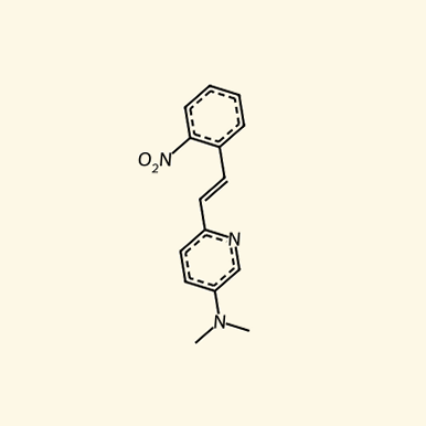 CN(C)c1ccc(C=Cc2ccccc2[N+](=O)[O-])nc1